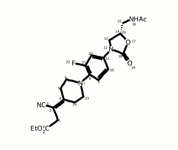 CCOC(=O)CC(C#N)=C1CCN(c2ccc(N3C[C@H](CNC(C)=O)OC3=O)cc2F)CC1